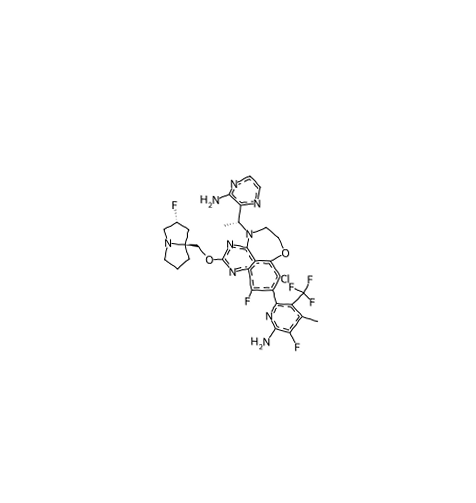 Cc1c(F)c(N)nc(-c2c(Cl)c3c4c(nc(OC[C@@]56CCCN5C[C@H](F)C6)nc4c2F)N([C@H](C)c2nccnc2N)CCO3)c1C(F)(F)F